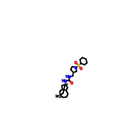 O=C(NCC1CCN(S(=O)(=O)C2CCCCC2)C1)N[C@@]12CC3CCC[C@@H](CC3C1)C2